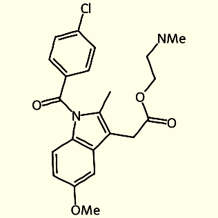 CNCCOC(=O)Cc1c(C)n(C(=O)c2ccc(Cl)cc2)c2ccc(OC)cc12